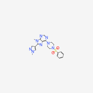 Cn1cc(-c2nc3c(N4CCN(S(=O)(=O)c5ccccc5)CC4)ncnc3n2C)cn1